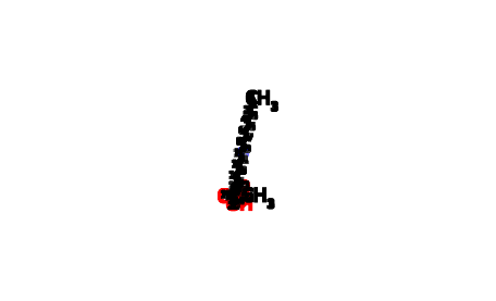 CCCCCCCCC/C=C/CCCCCCC(C(=O)O)S(C)(=O)=O